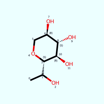 CC(O)[C@@H]1OC[C@@H](O)[C@H](O)[C@H]1O